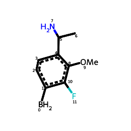 Bc1ccc(C(C)N)c(OC)c1F